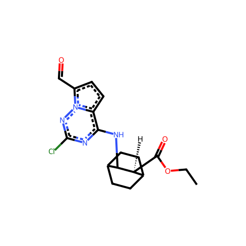 CCOC(=O)[C@H]1C2CCC(CC2)C1Nc1nc(Cl)nn2c(C=O)ccc12